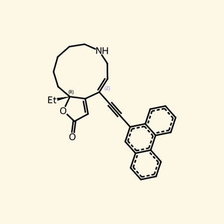 CC[C@@]12CCCCCNC/C=C(/C#Cc3cc4ccccc4c4ccccc34)C1=CC(=O)O2